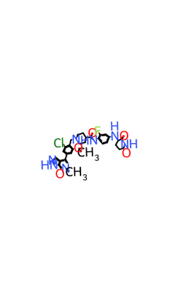 COc1cc(-c2cn(C)c(=O)c3[nH]ncc23)cc(Cl)c1CN1CCC(C(=O)Nc2ccc(NC3CCC(=O)NC3=O)cc2F)CC1